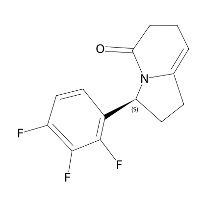 O=C1CCC=C2CC[C@@H](c3ccc(F)c(F)c3F)N12